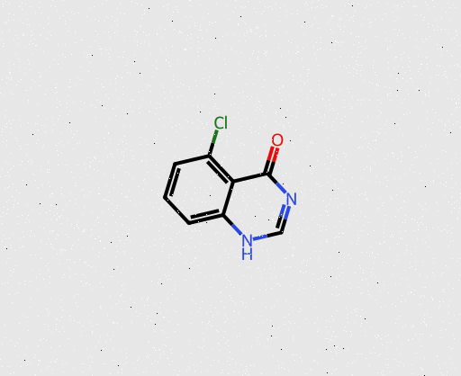 O=c1nc[nH]c2cccc(Cl)c12